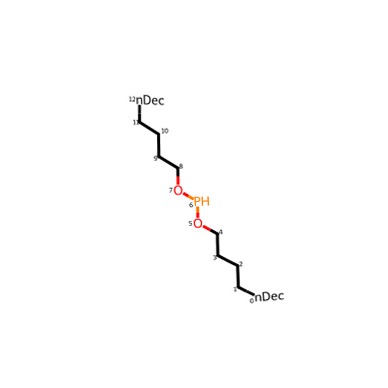 CCCCCCCCCCCCCCOPOCCCCCCCCCCCCCC